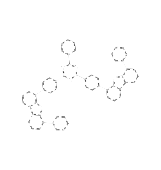 c1ccc(-c2nc(-c3ccc(-c4cccc5c4oc4c(-c6ccccc6)cccc45)cc3)nc(-c3ccc(-c4cccc5c4oc4c(-c6ccccc6)cccc45)cc3)n2)cc1